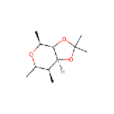 CC1O[C@@H](C)C2OC(C)(C)O[C@H]2[C@H]1C